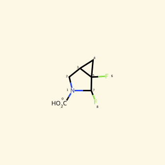 O=C(O)N1CC2CC2(F)C1F